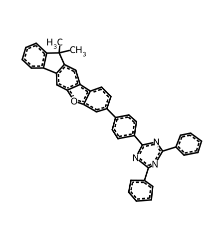 CC1(C)c2ccccc2-c2cc3oc4cc(-c5ccc(-c6nc(-c7ccccc7)nc(-c7ccccc7)n6)cc5)ccc4c3cc21